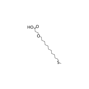 CSCCCCCCCCCCCOCCC(=O)O